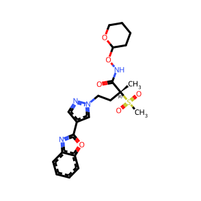 C[C@@](CCn1cc(-c2nc3ccccc3o2)cn1)(C(=O)NOC1CCCCO1)S(C)(=O)=O